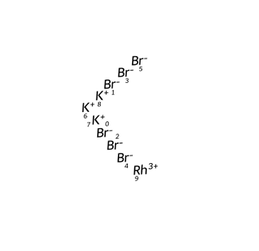 [Br-].[Br-].[Br-].[Br-].[Br-].[Br-].[K+].[K+].[K+].[Rh+3]